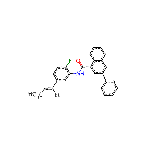 CC/C(=C\C(=O)O)c1ccc(F)c(NC(=O)c2cc(-c3ccccc3)cc3ccccc23)c1